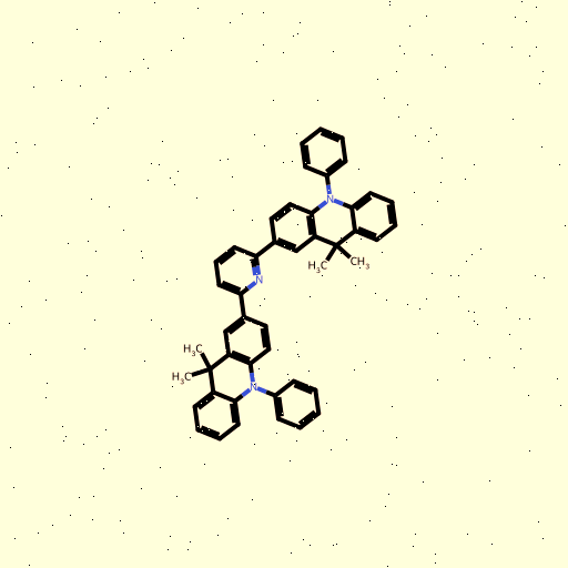 CC1(C)c2ccccc2N(c2ccccc2)c2ccc(-c3cccc(-c4ccc5c(c4)C(C)(C)c4ccccc4N5c4ccccc4)n3)cc21